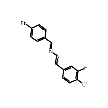 CCc1ccc(/C=N/N=C/c2ccc(Cl)c(F)c2)cc1